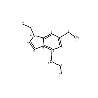 CCOc1cc(CO)cc2c1ccn2CC